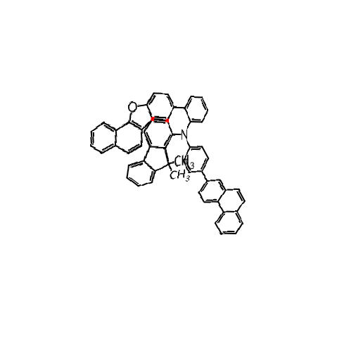 CC1(C)c2ccccc2-c2cccc(N(c3ccc(-c4ccc5c(ccc6ccccc65)c4)cc3)c3ccccc3-c3ccc4oc5c6ccccc6ccc5c4c3)c21